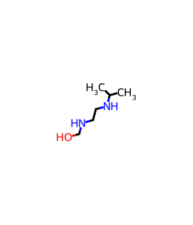 CC(C)NCCNCO